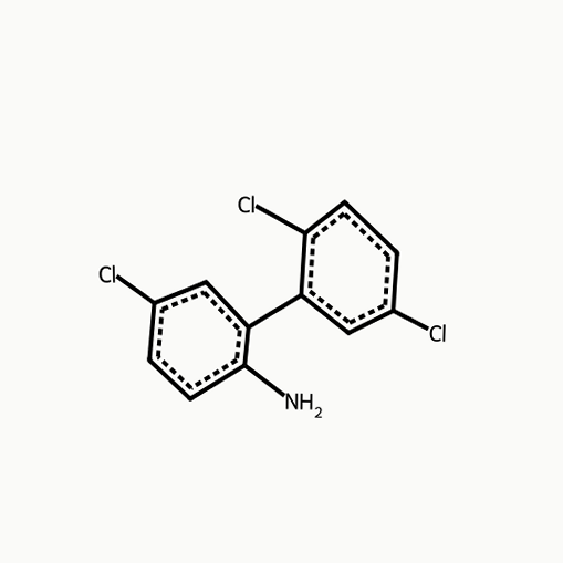 Nc1ccc(Cl)cc1-c1cc(Cl)ccc1Cl